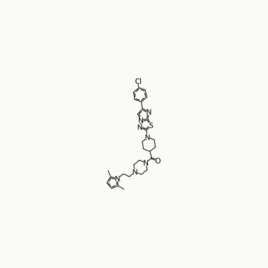 Cc1ccc(C)n1CCN1CCN(C(=O)C2CCN(c3nn4cc(-c5ccc(Cl)cc5)nc4s3)CC2)CC1